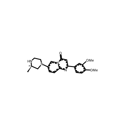 COc1ccc(-c2cc(=O)n3cc(N4CCN[C@H](C)C4)ccc3n2)cc1OC